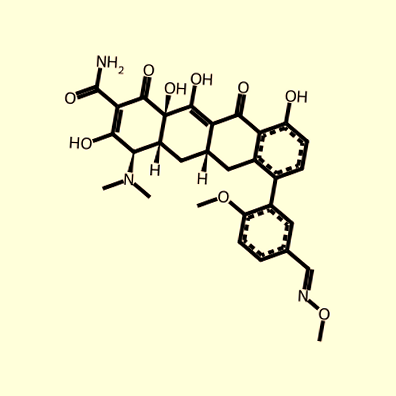 CO/N=C/c1ccc(OC)c(-c2ccc(O)c3c2C[C@@H]2C[C@@H]4[C@@H](N(C)C)C(O)=C(C(N)=O)C(=O)[C@]4(O)C(O)=C2C3=O)c1